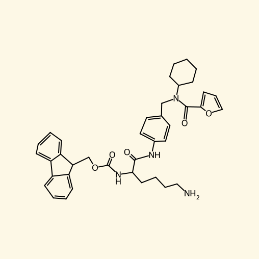 NCCCCC(NC(=O)OCC1c2ccccc2-c2ccccc21)C(=O)Nc1ccc(CN(C(=O)c2ccco2)C2CCCCC2)cc1